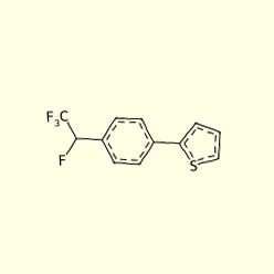 FC(c1ccc(-c2cccs2)cc1)C(F)(F)F